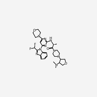 C[C@H](Nc1nc(N2CCOCC2)cc(-n2c(C(F)F)nc3ccccc32)n1)C(=O)N1CCN(C2COCC2N(C)C)CC1